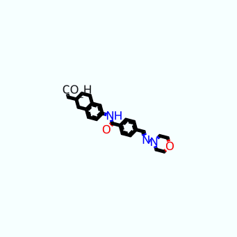 O=C(O)CC1CCc2cc(NC(=O)c3ccc(C=NN4CCOCC4)cc3)ccc2C1